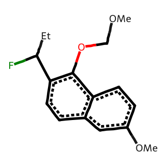 CCC(F)c1ccc2cc(OC)ccc2c1OCOC